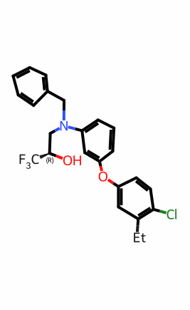 CCc1cc(Oc2cccc(N(Cc3ccccc3)C[C@@H](O)C(F)(F)F)c2)ccc1Cl